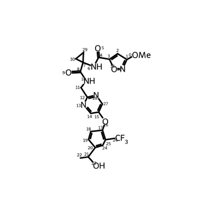 COc1cc(C(=O)NC2(C(=O)NCc3ncc(Oc4ccc(C(C)O)cc4C(F)(F)F)cn3)CC2)on1